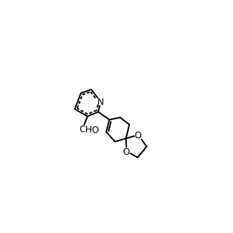 O=Cc1cccnc1C1=CCC2(CC1)OCCO2